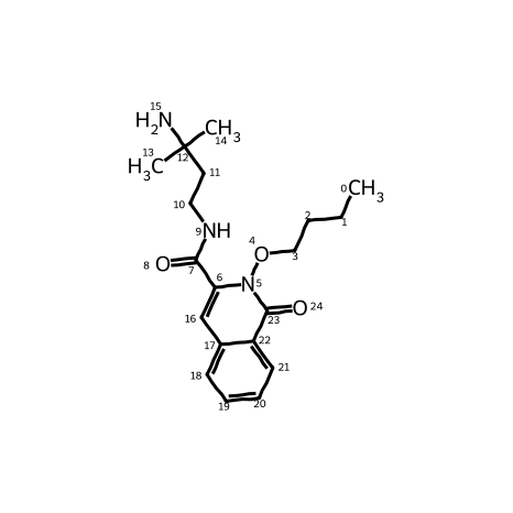 CCCCOn1c(C(=O)NCCC(C)(C)N)cc2ccccc2c1=O